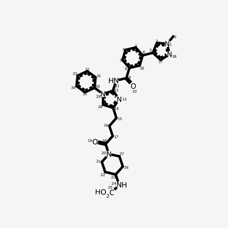 Cn1cc(-c2cccc(C(=O)Nc3nc(CCCC(=O)N4CCC(NC(=O)O)CC4)cn3-c3ccccc3)c2)cn1